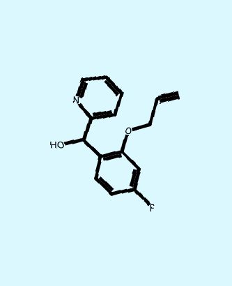 C=CCOc1cc(F)ccc1C(O)c1ccccn1